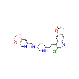 COc1ccc2ncc(Cl)c(CCC3CCC(NCc4cc5c(cn4)OCCO5)CN3)c2c1